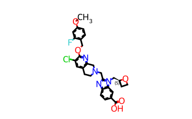 COc1ccc(COc2nc3c(cc2Cl)CCN(Cc2nc4ccc(C(=O)O)cc4n2C[C@@H]2CCO2)C3)c(F)c1